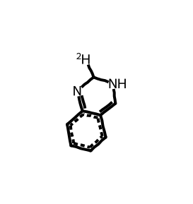 [2H]C1N=c2ccccc2=CN1